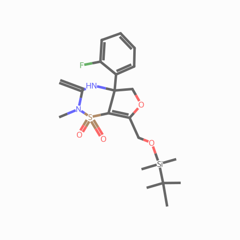 C=C1NC2(c3ccccc3F)COC(CO[Si](C)(C)C(C)(C)C)=C2S(=O)(=O)N1C